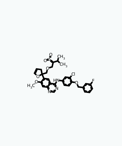 COc1cc2ncnc(Nc3ccc(OCc4cccc(F)c4)c(Cl)c3)c2cc1C1(COCC(C(C)C)=S(=O)=O)CC=CO1